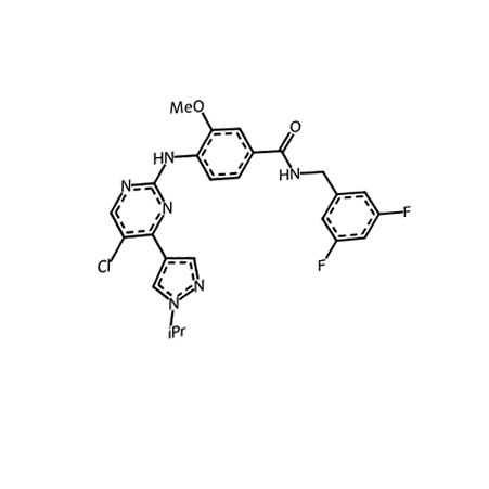 COc1cc(C(=O)NCc2cc(F)cc(F)c2)ccc1Nc1ncc(Cl)c(-c2cnn(C(C)C)c2)n1